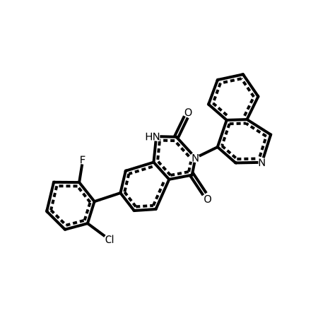 O=c1[nH]c2cc(-c3c(F)cccc3Cl)ccc2c(=O)n1-c1cncc2ccccc12